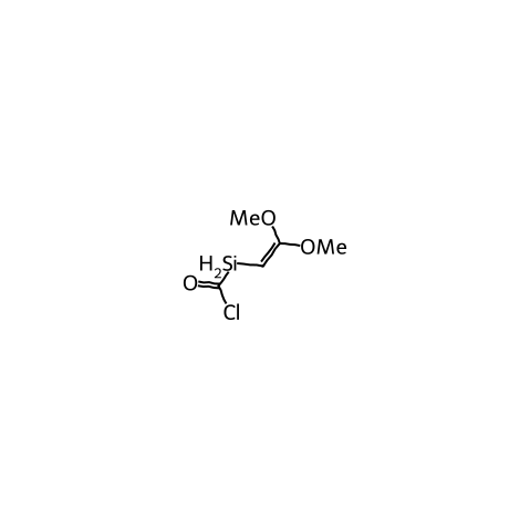 COC(=C[SiH2]C(=O)Cl)OC